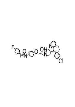 O=C(Cc1ccc(F)cc1)Nc1ccc(OCC(O)CN2CCC(=C3c4ccc(Cl)cc4CCc4cccnc43)CC2)cc1